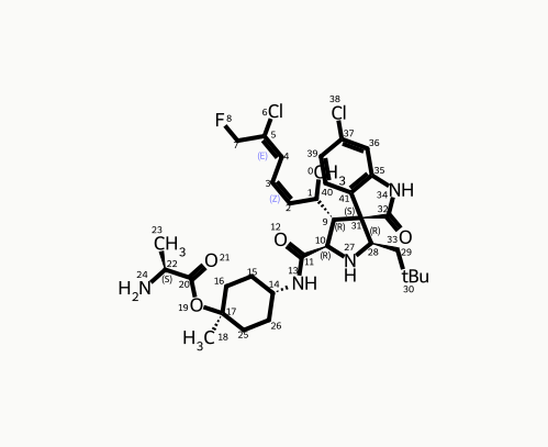 CC(/C=C\C=C(\Cl)CF)[C@H]1[C@H](C(=O)N[C@H]2CC[C@](C)(OC(=O)[C@H](C)N)CC2)N[C@H](CC(C)(C)C)[C@]12C(=O)Nc1cc(Cl)ccc12